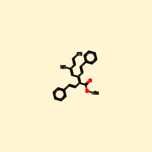 CCCCOC(=O)C(C=Cc1ccccc1)=C(C=Cc1ccccc1)C=C(C#N)C=CC#N